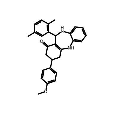 COc1ccc(C2CC(=O)C3=C(C2)Nc2ccccc2NC3c2cc(C)ccc2C)cc1